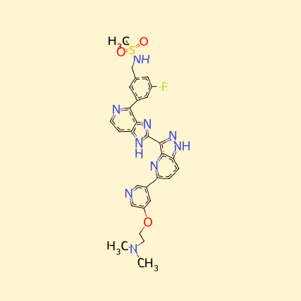 CN(C)CCOc1cncc(-c2ccc3[nH]nc(-c4nc5c(-c6cc(F)cc(CNS(C)(=O)=O)c6)nccc5[nH]4)c3n2)c1